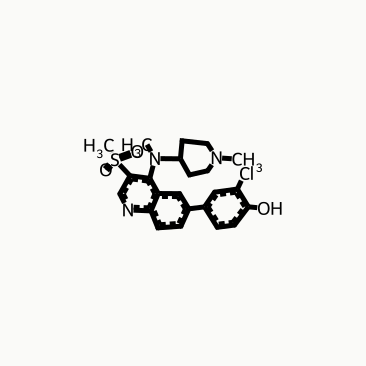 CN1CCC(N(C)c2c(S(C)(=O)=O)cnc3ccc(-c4ccc(O)c(Cl)c4)cc23)CC1